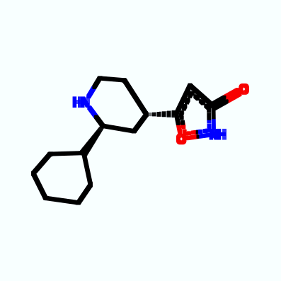 O=c1cc([C@H]2CCN[C@H](C3CCCCC3)C2)o[nH]1